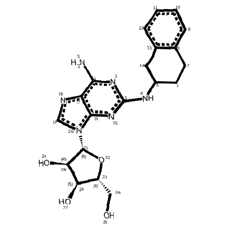 Nc1nc(NC2CCc3ccccc3C2)nc2c1ncn2[C@@H]1O[C@H](CO)[C@@H](O)[C@H]1O